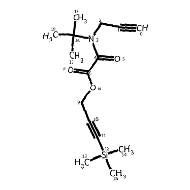 C#CCN(C(=O)C(=O)OCC#C[Si](C)(C)C)C(C)(C)C